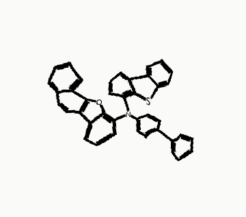 c1ccc(-c2ccc(N(c3cccc4c3oc3c5ccccc5ccc43)c3cccc4c3sc3ccccc34)cc2)cc1